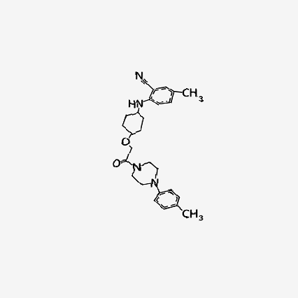 Cc1ccc(N2CCN(C(=O)COC3CCC(Nc4ccc(C)cc4C#N)CC3)CC2)cc1